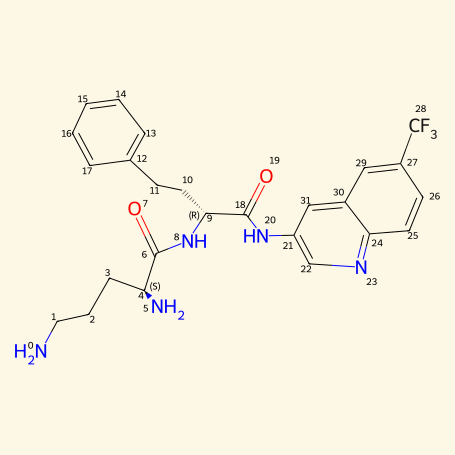 NCCC[C@H](N)C(=O)N[C@H](CCc1ccccc1)C(=O)Nc1cnc2ccc(C(F)(F)F)cc2c1